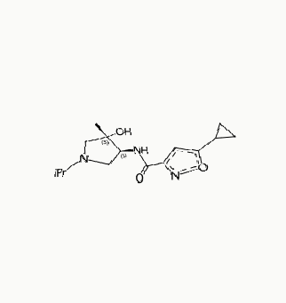 CC(C)N1C[C@H](NC(=O)c2cc(C3CC3)on2)[C@@](C)(O)C1